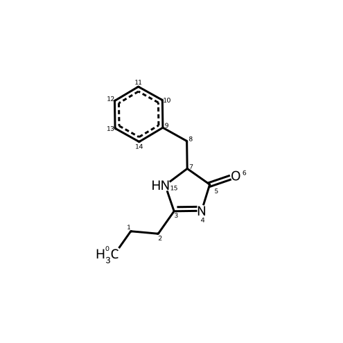 CCCC1=NC(=O)C(Cc2ccccc2)N1